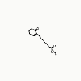 CCOC(=O)CCCCCCC1=CCCCC1=O